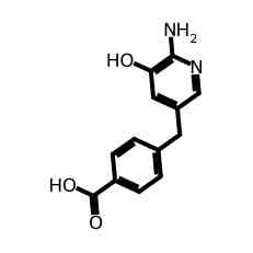 Nc1ncc(Cc2ccc(C(=O)O)cc2)cc1O